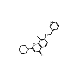 Cc1c(OCc2cccnc2)ccc2c(=O)cc(N3CCCCC3)oc12